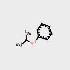 CC(C)(C)C(Bc1ccccc1)C(C)(C)C